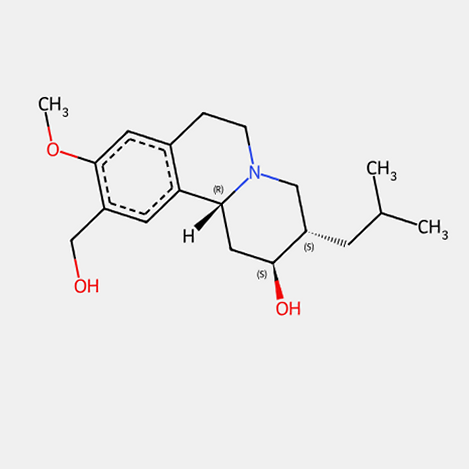 COc1cc2c(cc1CO)[C@H]1C[C@H](O)[C@@H](CC(C)C)CN1CC2